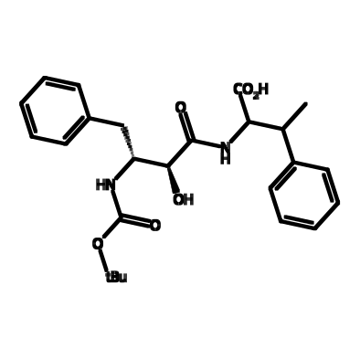 CC(c1ccccc1)C(NC(=O)[C@@H](O)[C@@H](Cc1ccccc1)NC(=O)OC(C)(C)C)C(=O)O